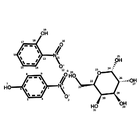 O=[N+]([O-])c1ccc(O)cc1.O=[N+]([O-])c1ccccc1O.OC[C@H]1O[C@H](O)[C@H](O)[C@@H](O)[C@H]1O